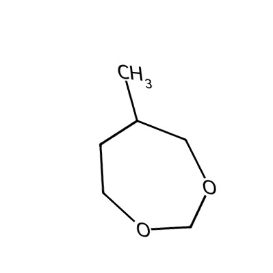 CC1CCOCOC1